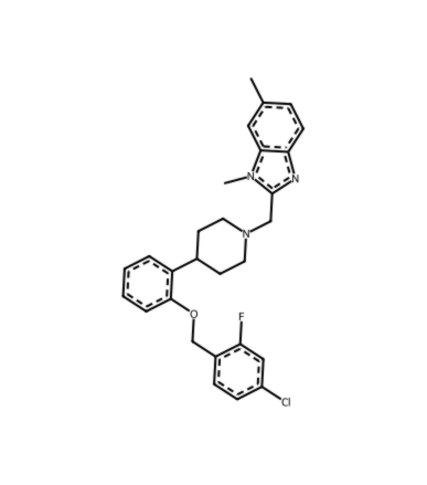 Cc1ccc2nc(CN3CCC(c4ccccc4OCc4ccc(Cl)cc4F)CC3)n(C)c2c1